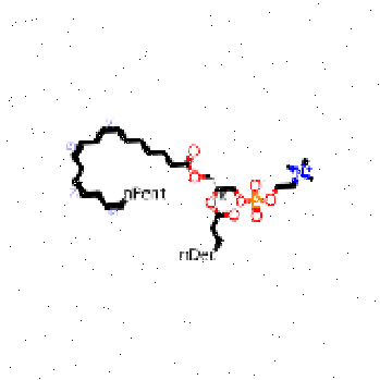 CCCCC/C=C\C/C=C\C/C=C\C/C=C\CCCCCC(=O)OC[C@H](COP(=O)([O-])OCC[N+](C)(C)C)OC(=O)CCCCCCCCCCCC